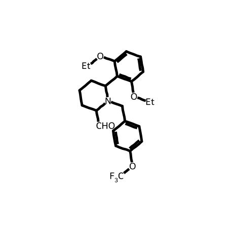 CCOc1cccc(OCC)c1C1CCCC(C=O)N1Cc1ccc(OC(F)(F)F)cc1